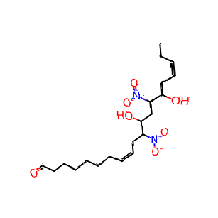 CC/C=C\CC(O)C(CC(O)C(C/C=C\CCCCCC[C]=O)[N+](=O)[O-])[N+](=O)[O-]